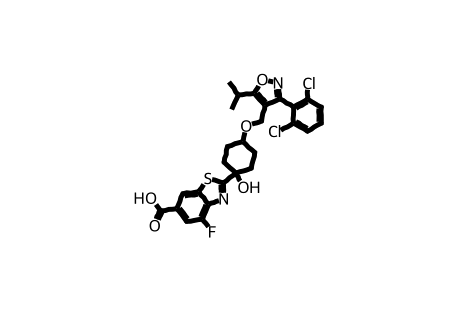 CC(C)c1onc(-c2c(Cl)cccc2Cl)c1COC1CCC(O)(c2nc3c(F)cc(C(=O)O)cc3s2)CC1